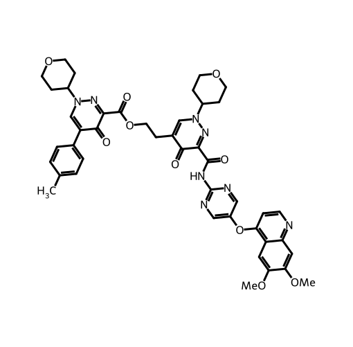 COc1cc2nccc(Oc3cnc(NC(=O)c4nn(C5CCOCC5)cc(CCOC(=O)c5nn(C6CCOCC6)cc(-c6ccc(C)cc6)c5=O)c4=O)nc3)c2cc1OC